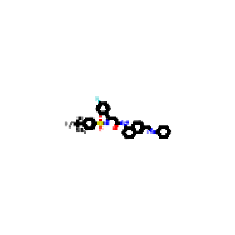 CC(C)(C)c1ccc(S(=O)(=O)NC(CC(=O)NC2CCCc3cc(CNC4CCCCC4)ccc32)c2ccc(F)cc2)cc1